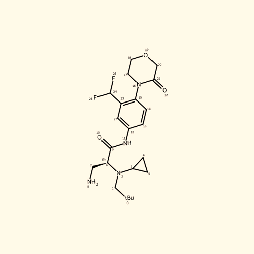 CC(C)(C)CN(C1CC1)[C@@H](CN)C(=O)Nc1ccc(N2CCOCC2=O)c(C(F)F)c1